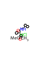 COC(=O)c1cc([C@H]2C[C@H](CNCCc3cccc4ccccc34)Oc3ccccc32)ccc1C.Cl